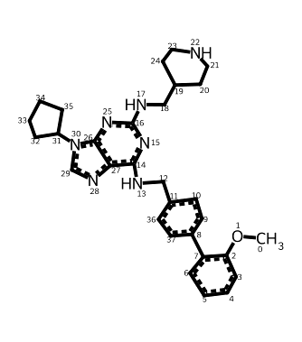 COc1ccccc1-c1ccc(CNc2nc(NCC3CCNCC3)nc3c2ncn3C2CCCC2)cc1